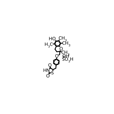 Cc1c(C)c2c(c(C)c1O)CCC(C)(COc1ccc(CC3SC(=O)NC3=O)cc1)O2.O=S(=O)(O)O